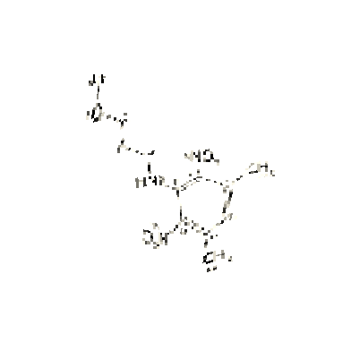 CCOCCCNc1c([N+](=O)[O-])c(C)cc(C)c1[N+](=O)[O-]